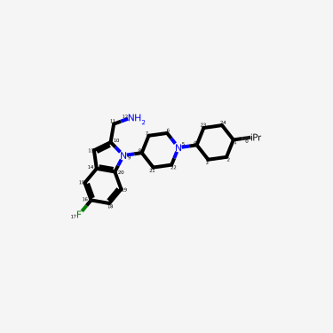 CC(C)C1CCC(N2CCC(n3c(CN)cc4cc(F)ccc43)CC2)CC1